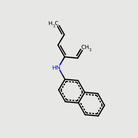 C=C/C=C(\C=C)Nc1ccc2ccccc2c1